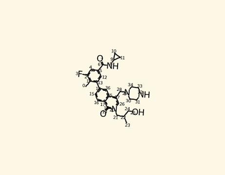 Cc1c(F)cc(C(=O)NC2CC2)cc1-c1ccc2c(=O)n(C[C@H](C)CO)cc(CN3CCNCC3)c2c1